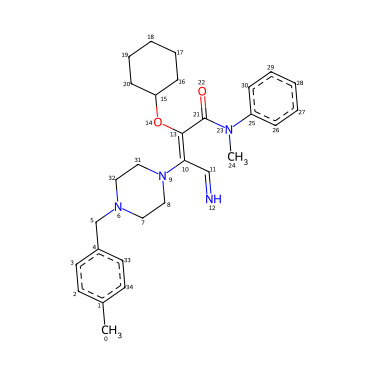 Cc1ccc(CN2CCN(/C(C=N)=C(\OC3CCCCC3)C(=O)N(C)c3ccccc3)CC2)cc1